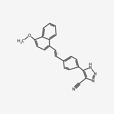 COc1ccc(/C=C/c2ccc(-c3[nH]nnc3C#N)cc2)c2ccccc12